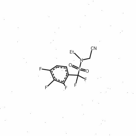 CCN(CC#N)S(=O)(=O)C(F)(F)c1ccc(F)c(F)c1F